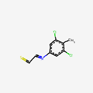 Cc1c(Cl)cc(N=CC=S)cc1Cl